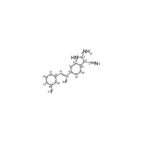 N#Cc1c(N)[nH]c2cc(C(F)=Cc3cccc(F)c3)ccc12